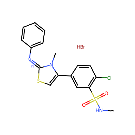 Br.CNS(=O)(=O)c1cc(-c2cs/c(=N/c3ccccc3)n2C)ccc1Cl